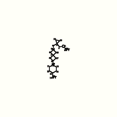 CC(C)OCC1(CN2CC3(CC(N4CCC(C(C)C)CC4)C3)C2)CC1